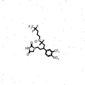 CC(C)(CC(CCN1CC(=O)NC1=O)c1ccc([N+](=O)[O-])c(C(F)(F)F)c1)[S+]([O-])CCCC(F)(F)C(F)(F)F